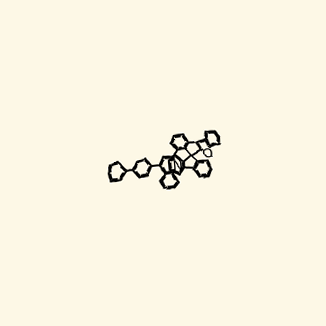 c1ccc(-c2ccc(-c3cc(-c4cccc5c4C4(c6ccccc6-c6ccccc64)c4oc6ccccc6c4-5)nc4ccccc34)cc2)cc1